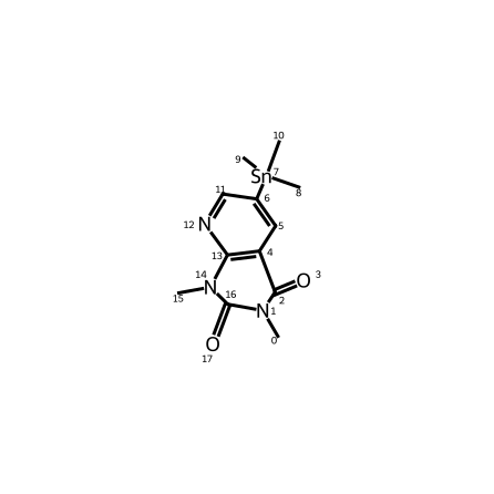 Cn1c(=O)c2c[c]([Sn]([CH3])([CH3])[CH3])cnc2n(C)c1=O